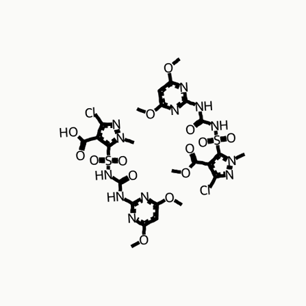 COC(=O)c1c(Cl)nn(C)c1S(=O)(=O)NC(=O)Nc1nc(OC)cc(OC)n1.COc1cc(OC)nc(NC(=O)NS(=O)(=O)c2c(C(=O)O)c(Cl)nn2C)n1